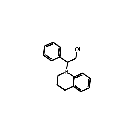 OCC(c1ccccc1)N1CCCc2ccccc21